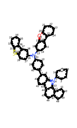 c1ccc(-n2c3cc(-c4ccc(N(c5ccc6c(c5)oc5ccccc56)c5ccc6sc7ccccc7c6c5)cc4)ccc3c3ccc4ccccc4c32)cc1